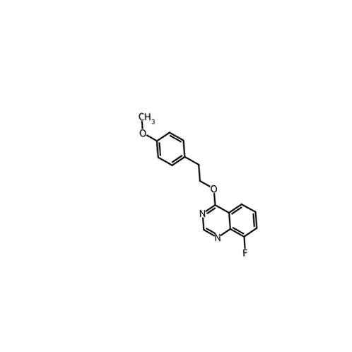 COc1ccc(CCOc2ncnc3c(F)cccc23)cc1